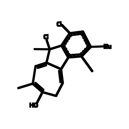 CCC(C)c1cc(Cl)c2c(c1C)C1=CCC(O)=C(C)C=C1C2(C)Cl